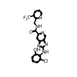 O=C(NCc1ncccc1C(F)(F)F)c1cc2[nH]c(Nc3c(Cl)cccc3Cl)nc2cn1